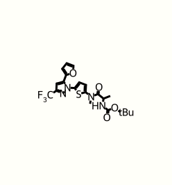 CC(NC(=O)OC(C)(C)C)C(=O)N(C)c1ccc(-n2nc(C(F)(F)F)cc2-c2ccco2)s1